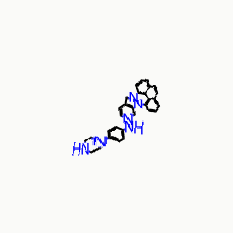 C1=CN(Nc2ccc(N3CCNCC3)cc2)Cc2c1cnn2-c1cccc2ccc3ccccc3c12